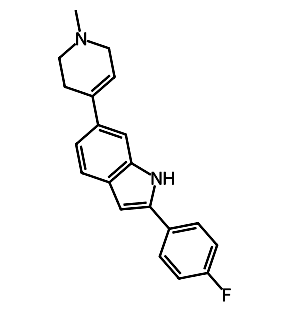 CN1CC=C(c2ccc3cc(-c4ccc(F)cc4)[nH]c3c2)CC1